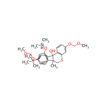 COCOc1ccc(C2(C)CSc3cc(OCOC)ccc3C2(O)c2ccc(C(C)(C)C)cc2O[SiH](C)C)cc1